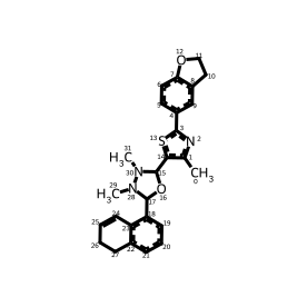 Cc1nc(-c2ccc3c(c2)CCO3)sc1C1OC(c2cccc3c2C=CCC3)N(C)N1C